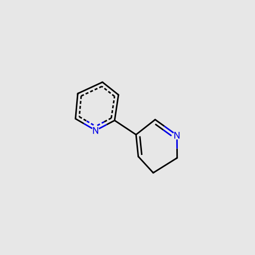 C1=NCCC=C1c1ccccn1